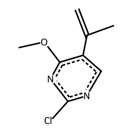 C=C(C)c1cnc(Cl)nc1OC